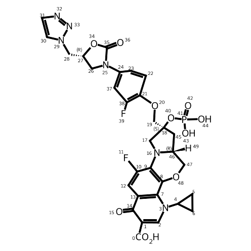 O=C(O)c1cn(C2CC2)c2c3c(c(F)cc2c1=O)N1C[C@@](COc2ccc(N4C[C@H](Cn5ccnn5)OC4=O)cc2F)(OP(=O)(O)O)C[C@@H]1CO3